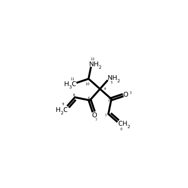 C=CC(=O)C(N)(C(=O)C=C)C(C)N